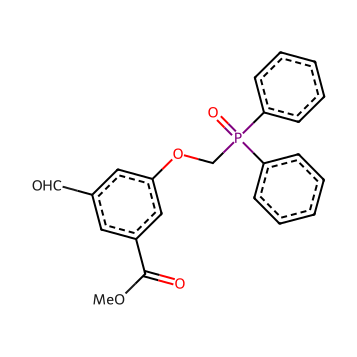 COC(=O)c1cc(C=O)cc(OCP(=O)(c2ccccc2)c2ccccc2)c1